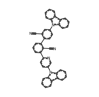 N#Cc1cc(-n2c3ccccc3c3ccccc32)ccc1-c1cccc(-c2ccc(-n3c4ccccc4c4ccccc43)cn2)c1C#N